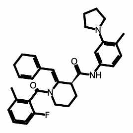 CC1=C(C(=O)N2CCC[C@H](C(=O)Nc3ccc(C)c(N4CCCC4)c3)/C2=C/C2=CCCC=C2)C(F)=C=C=C1